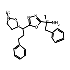 CCN1CCN(C(CCc2ccccc2)c2nnc([C@](C)(N)Cc3ccccc3)o2)S1